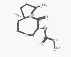 C[C@@H]1CC[C@@H]2CCCC[C@H](NC(=O)OC(C)(C)C)C(=O)N21